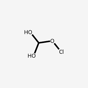 OC(O)OCl